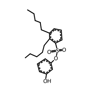 CCCCCc1cccc(S(=O)(=O)Oc2cccc(O)c2)c1CCCCC